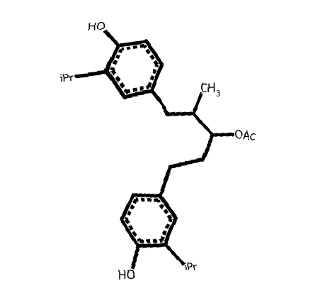 CC(=O)OC(CCc1ccc(O)c(C(C)C)c1)C(C)Cc1ccc(O)c(C(C)C)c1